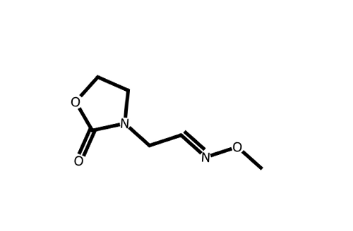 CON=CCN1CCOC1=O